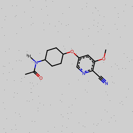 [2H]N(C(C)=O)C1CCC(Oc2cnc(C#N)c(OC)c2)CC1